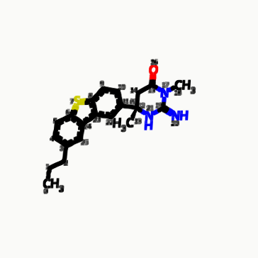 CCCc1ccc2sc3ccc([C@]4(C)CC(=O)N(C)C(=N)N4)cc3c2c1